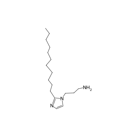 CCCCCCCCCCCc1nccn1CCCN